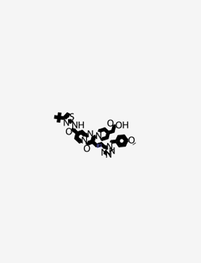 COc1ccc(Cn2nnnc2/C=C/c2c(N3CCC(CC(=O)O)CC3)nc3cc(C(=O)Nc4nc(C(C)(C)C)cs4)ccn3c2=O)cc1